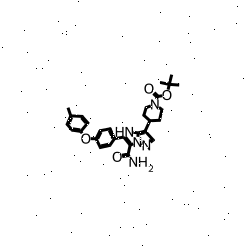 Cc1ccc(Oc2ccc(-c3[nH]c4c(C5CCN(C(=O)OC(C)(C)C)CC5)cnn4c3C(N)=O)cc2)cc1